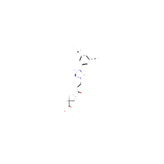 COC(=O)C1(F)CN(C(=O)C=Cn2cnc(-c3cc(C(F)(F)F)cc(C(F)(F)F)c3)n2)C1